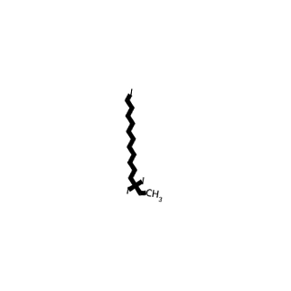 CCC(I)(I)CCCCCCCCCCCI